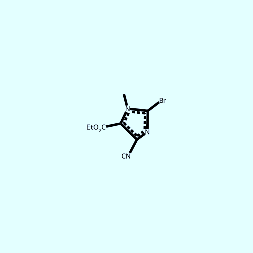 [C-]#[N+]c1nc(Br)n(C)c1C(=O)OCC